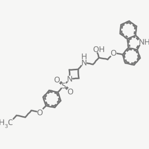 CCCCOc1ccc(S(=O)(=O)N2CC(NCC(O)COc3cccc4[nH]c5ccccc5c34)C2)cc1